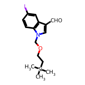 C[Si](C)(C)CCOCn1cc(C=O)c2cc(I)ccc21